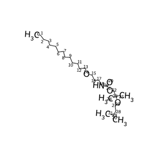 CCCCCCCCCCCCCCOCCCNC(=O)OCC(C)(C)OCCC(C)C